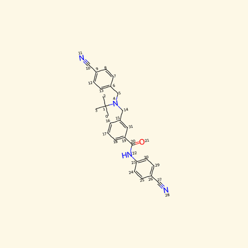 CC(C)(C)N(Cc1ccc(C#N)cc1)Cc1cccc(C(=O)Nc2ccc(C#N)cc2)c1